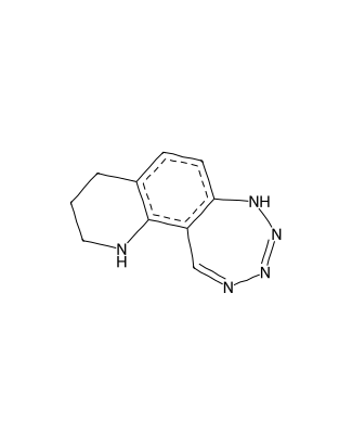 C1=NN=NNc2ccc3c(c21)NCCC3